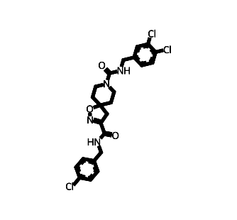 O=C(NCc1ccc(Cl)cc1)C1=NOC2(CCN(C(=O)NCc3ccc(Cl)c(Cl)c3)CC2)C1